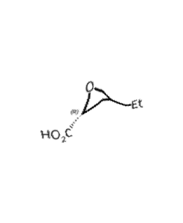 CCC1O[C@H]1C(=O)O